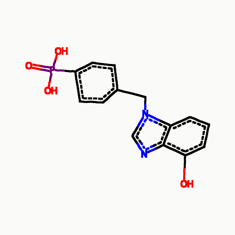 O=P(O)(O)c1ccc(Cn2cnc3c(O)cccc32)cc1